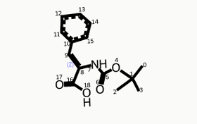 CC(C)(C)OC(=O)N/C(=C\c1ccccc1)C(=O)O